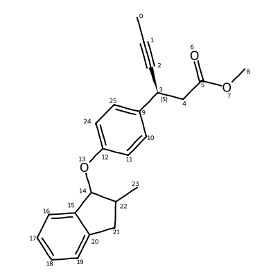 CC#C[C@@H](CC(=O)OC)c1ccc(OC2c3ccccc3CC2C)cc1